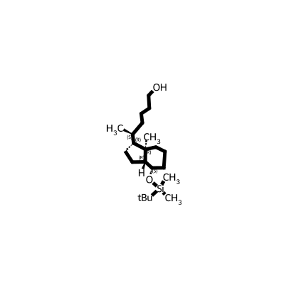 C[C@@H](CCCCO)[C@H]1CC[C@H]2[C@@H](O[Si](C)(C)C(C)(C)C)CCC[C@]12C